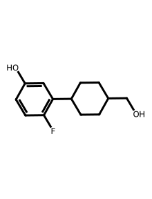 OCC1CCC(c2cc(O)ccc2F)CC1